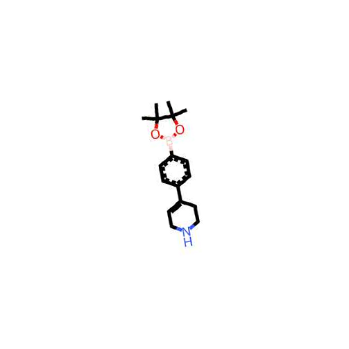 CC1(C)OB(c2ccc(C3=CCNCC3)cc2)OC1(C)C